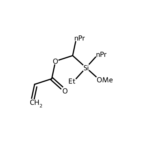 C=CC(=O)OC(CCC)[Si](CC)(CCC)OC